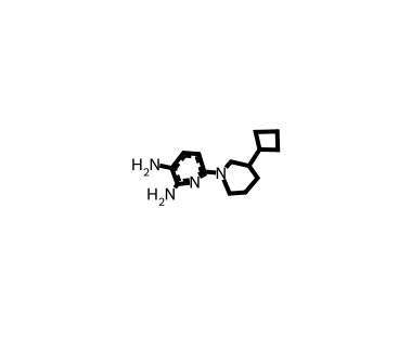 Nc1ccc(N2CCCC(C3CCC3)C2)nc1N